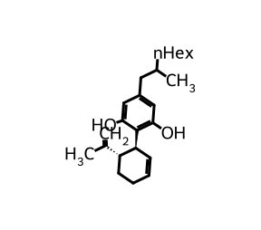 C=C(C)[C@H]1CCC=C[C@@H]1c1c(O)cc(CC(C)CCCCCC)cc1O